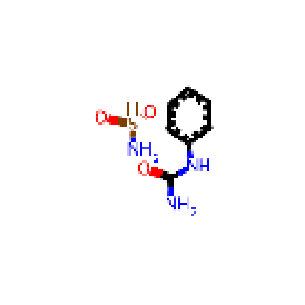 NC(=O)Nc1ccccc1.N[SH](=O)=O